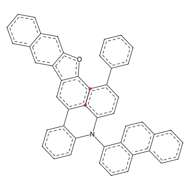 c1ccc(-c2ccc(N(c3ccccc3-c3ccc4oc5cc6ccccc6cc5c4c3)c3cccc4c3ccc3ccccc34)cc2)cc1